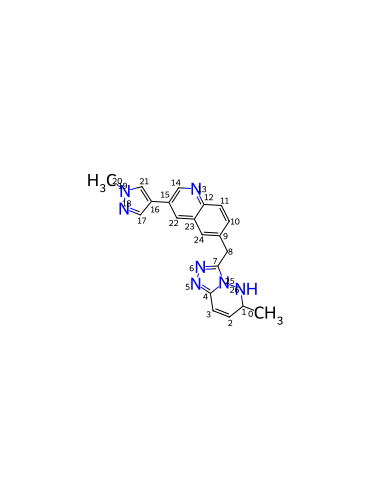 CC1C=Cc2nnc(Cc3ccc4ncc(-c5cnn(C)c5)cc4c3)n2N1